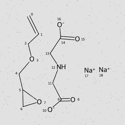 C=CCOCC1CO1.O=C([O-])CNCC(=O)[O-].[Na+].[Na+]